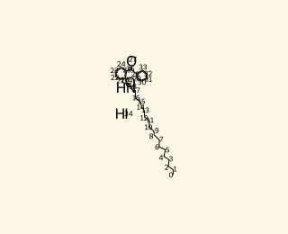 CCCCCCCCCCCCCCCCCCNOc1ccccc1C(=O)c1ccccc1.I